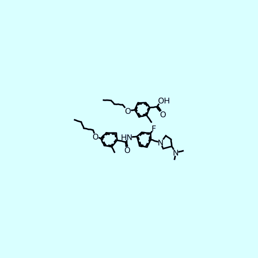 CCCCOc1ccc(C(=O)Nc2ccc(N3CCC(N(C)C)C3)c(F)c2)c(C)c1.CCCCOc1ccc(C(=O)O)c(C)c1